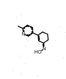 Cc1ccc(C2=CC(=NO)CCC2)cn1